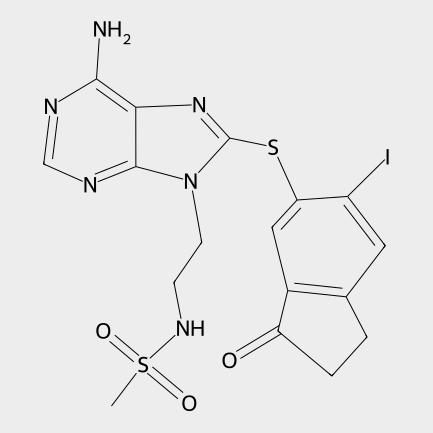 CS(=O)(=O)NCCn1c(Sc2cc3c(cc2I)CCC3=O)nc2c(N)ncnc21